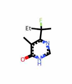 CCC(C)(F)c1nc[nH]c(=O)c1C